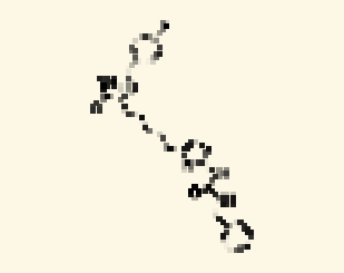 NC(=O)C(CCCCCc1csc(NC(=O)NCc2ccccc2)n1)OCc1ccc(F)cc1